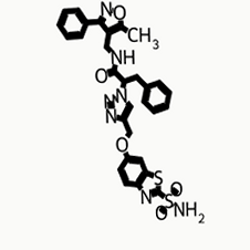 Cc1onc(-c2ccccc2)c1CNC(=O)C(Cc1ccccc1)n1cc(COc2ccc3nc(S(N)(=O)=O)sc3c2)nn1